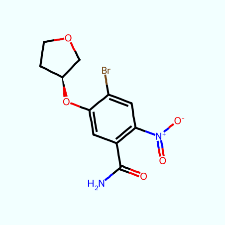 NC(=O)c1cc(O[C@H]2CCOC2)c(Br)cc1[N+](=O)[O-]